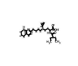 CCC(CC)C(=O)NC(CCN(CCCCc1ccc2c(n1)NCCC2)C1CC1)C(=O)O